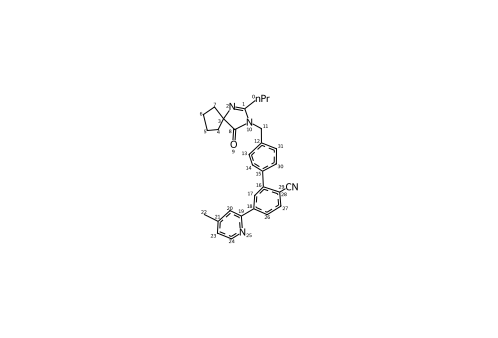 CCCC1=NC2(CCCC2)C(=O)N1Cc1ccc(-c2cc(-c3cc(C)ccn3)ccc2C#N)cc1